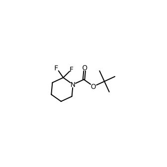 CC(C)(C)OC(=O)N1CCCCC1(F)F